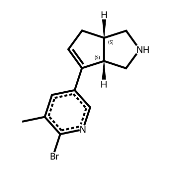 Cc1cc(C2=CC[C@@H]3CNC[C@H]23)cnc1Br